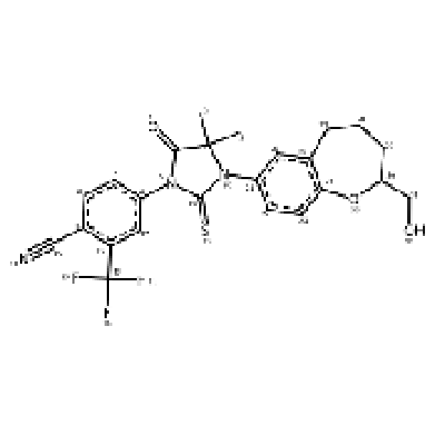 CC1(C)C(=O)N(c2ccc(C#N)c(C(F)(F)F)c2)C(=S)N1c1ccc2c(c1)CCCC(CO)O2